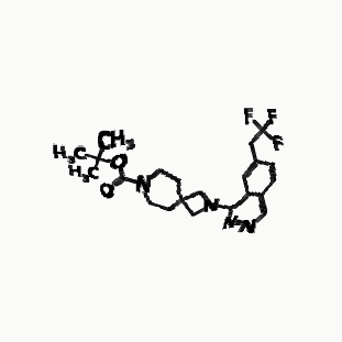 CC(C)(C)OC(=O)N1CCC2(CC1)CN(c1nncc3ccc(CC(F)(F)F)cc13)C2